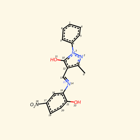 Cc1nn(-c2ccccc2)c(O)c1/C=N/c1cc([N+](=O)[O-])ccc1O